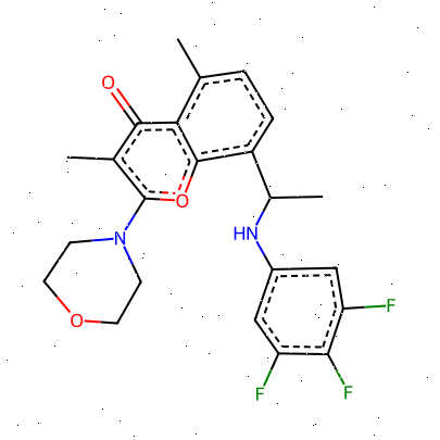 Cc1c(N2CCOCC2)oc2c(C(C)Nc3cc(F)c(F)c(F)c3)ccc(C)c2c1=O